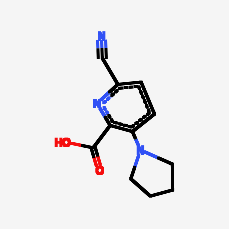 N#Cc1ccc(N2CCCC2)c(C(=O)O)n1